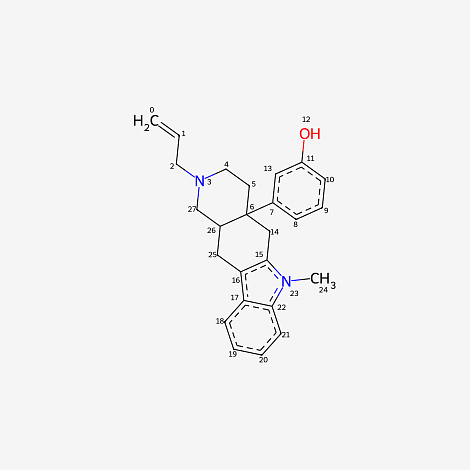 C=CCN1CCC2(c3cccc(O)c3)Cc3c(c4ccccc4n3C)CC2C1